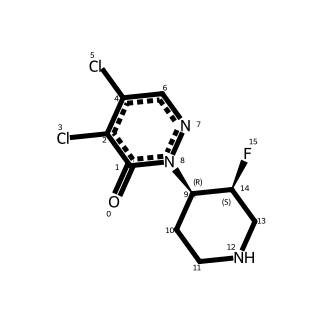 O=c1c(Cl)c(Cl)cnn1[C@@H]1CCNC[C@@H]1F